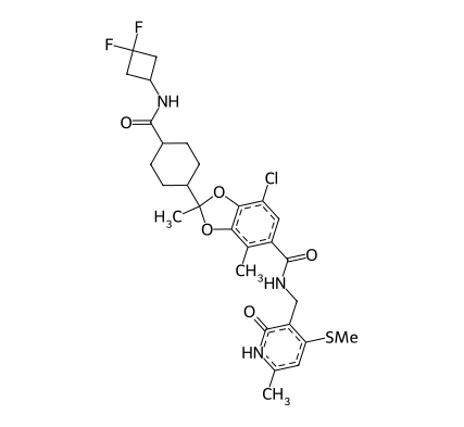 CSc1cc(C)[nH]c(=O)c1CNC(=O)c1cc(Cl)c2c(c1C)OC(C)(C1CCC(C(=O)NC3CC(F)(F)C3)CC1)O2